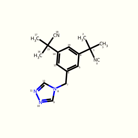 [C-]#[N+]C(C)(C)c1cc(Cn2cnnc2)cc(C(C)(C)C#N)c1